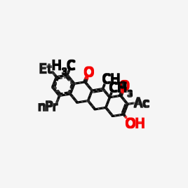 CCCc1cc(CC)c(C)c2c1CC1CC3CC(O)=C(C(C)=O)C(=O)C3(C)C(C)=C1C2=O